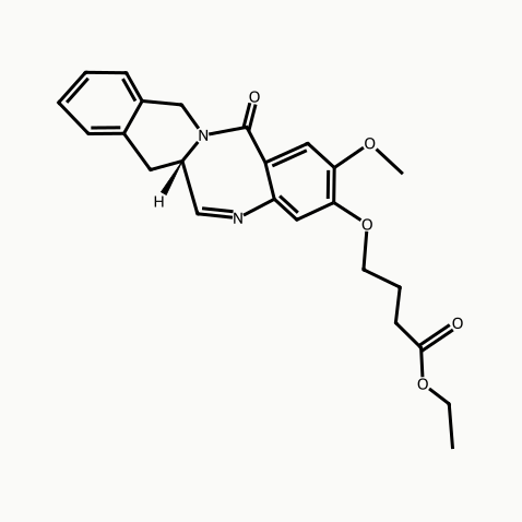 CCOC(=O)CCCOc1cc2c(cc1OC)C(=O)N1Cc3ccccc3C[C@H]1C=N2